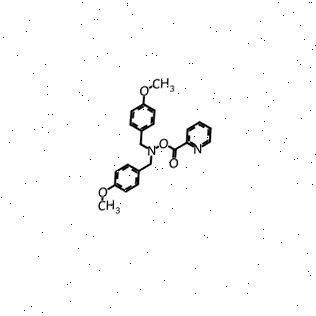 COc1ccc(CN(Cc2ccc(OC)cc2)OC(=O)c2ccccn2)cc1